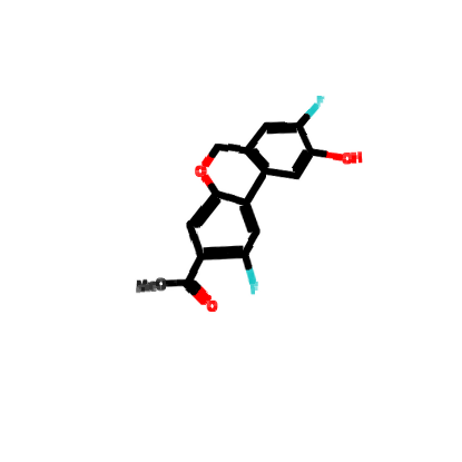 COC(=O)c1cc2c(cc1F)-c1cc(O)c(F)cc1CO2